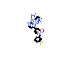 Cn1nccc1Nc1nccc(-c2ccn(Cc3cccc(F)c3)c(=O)c2)n1